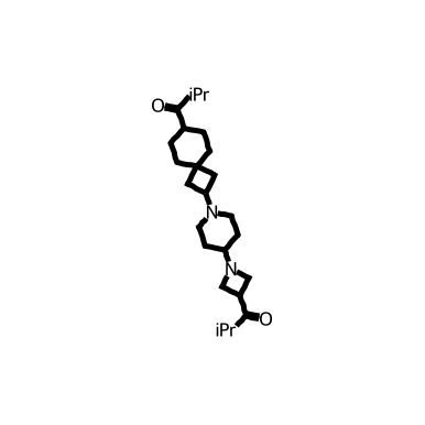 CC(C)C(=O)C1CCC2(CC1)CC(N1CCC(N3CC(C(=O)C(C)C)C3)CC1)C2